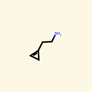 NCCC1=CC1